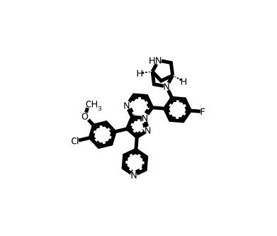 COc1cc(-c2c(-c3ccncc3)nn3c(-c4ccc(F)cc4N4C[C@@H]5C[C@H]4CN5)ccnc23)ccc1Cl